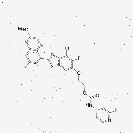 COc1cnc2c(-c3nc4c(Cl)c(F)c(OCCOC(=O)Nc5ccnc(F)c5)cc4s3)cc(C)cc2n1